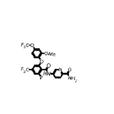 COc1cc(OC(F)(F)F)ccc1Oc1cc(C(F)(F)F)cc(F)c1C(=O)Nc1ccc(C(N)=O)nc1